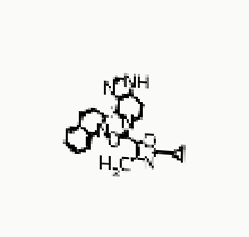 Cc1nc(C2CC2)oc1C(=O)N1CCc2[nH]cnc2[C@H]1c1ccc2ccccc2n1